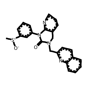 C[S+]([O-])c1cccc(N2C(=O)N(Cc3ccc4ccccc4n3)Cc3cccnc32)c1